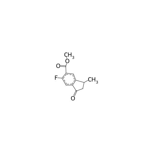 COC(=O)c1cc2c(cc1F)C(=O)CC2C